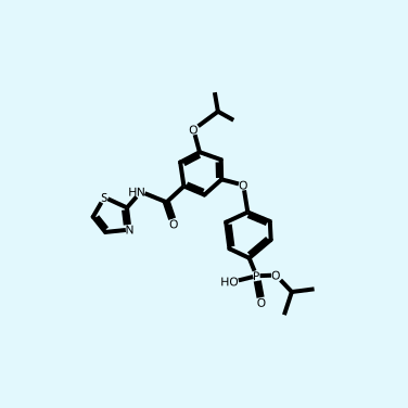 CC(C)Oc1cc(Oc2ccc(P(=O)(O)OC(C)C)cc2)cc(C(=O)Nc2nccs2)c1